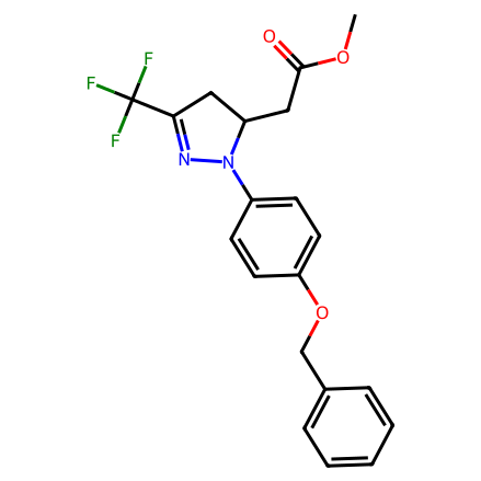 COC(=O)CC1CC(C(F)(F)F)=NN1c1ccc(OCc2ccccc2)cc1